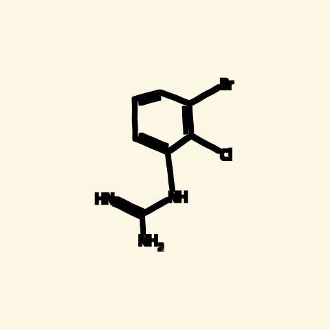 N=C(N)Nc1cccc(Br)c1Cl